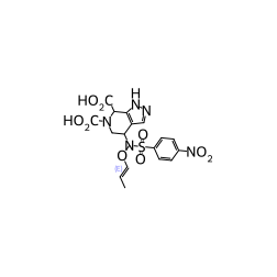 C/C=C/ON(C1CN(C(=O)O)C(C(=O)O)c2[nH]ncc21)S(=O)(=O)c1ccc([N+](=O)[O-])cc1